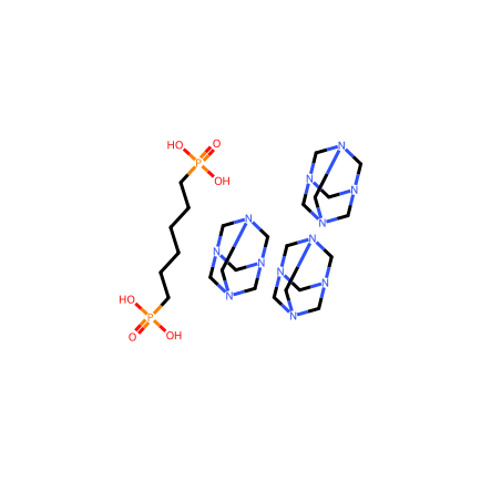 C1N2CN3CN1CN(C2)C3.C1N2CN3CN1CN(C2)C3.C1N2CN3CN1CN(C2)C3.O=P(O)(O)CCCCCCP(=O)(O)O